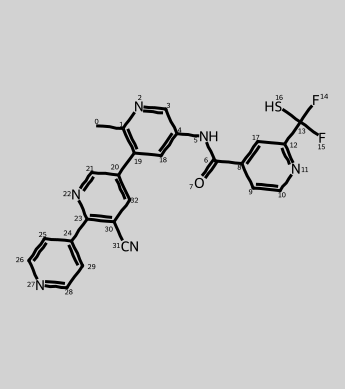 Cc1ncc(NC(=O)c2ccnc(C(F)(F)S)c2)cc1-c1cnc(-c2ccncc2)c(C#N)c1